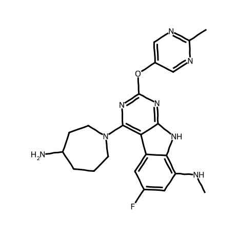 CNc1cc(F)cc2c1[nH]c1nc(Oc3cnc(C)nc3)nc(N3CCCC(N)CC3)c12